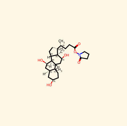 C[C@H](CCC(=O)ON1CCCC1=O)[C@H]1CC[C@H]2[C@@H]3[C@H](O)C[C@@H]4C[C@H](O)CC[C@]4(C)[C@H]3C[C@H](O)[C@]12C